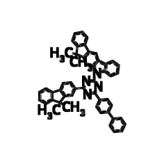 CC1(C)c2ccccc2-c2ccc(-c3nc(-c4ccc(-c5ccccc5)cc4)nc(-n4c5ccccc5c5cc6c(cc54)C(C)(C)c4ccccc4-6)n3)cc21